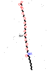 CCCCCCCCCC(=O)NCCOCCOCCOCCOCCOCCOCCOCCOCCOCCOOCC(=O)[O-].[Na+]